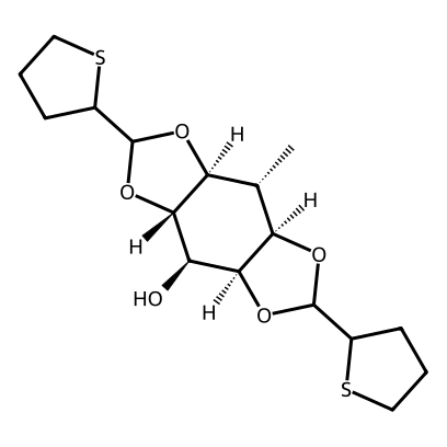 C[C@@H]1[C@H]2OC(C3CCCS3)O[C@H]2[C@@H](O)[C@@H]2OC(C3CCCS3)O[C@@H]12